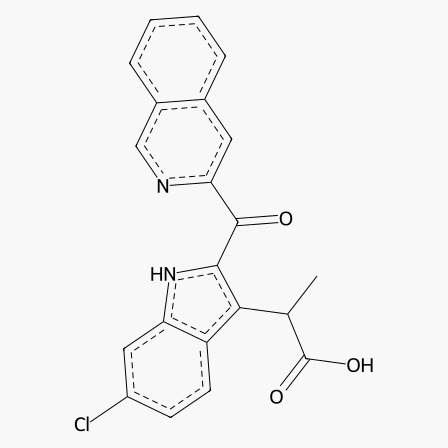 CC(C(=O)O)c1c(C(=O)c2cc3ccccc3cn2)[nH]c2cc(Cl)ccc12